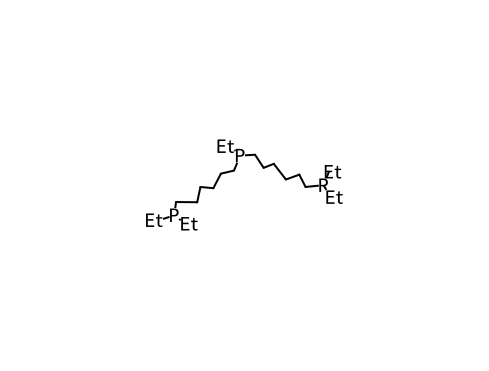 CCP(CC)CCCCCCP(CC)CCCCCCP(CC)CC